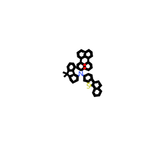 CC1(C)c2ccccc2-c2c(N(c3ccc(-c4cccc5cccc(-c6ccccc6)c45)cc3)c3ccc4c(c3)sc3c5ccccc5ccc43)cccc21